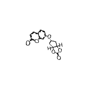 O=C1O[C@H]2C[C@@H](Oc3ccc4ccc(=O)oc4c3)C[C@H]2O1